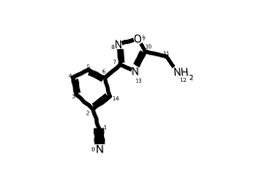 N#Cc1cccc(-c2noc(CN)n2)c1